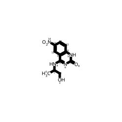 CC(CO)Nc1nc(=O)[nH]c2ccc([N+](=O)[O-])cc12